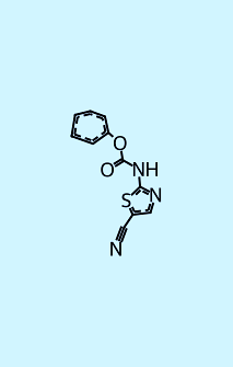 N#Cc1cnc(NC(=O)Oc2ccccc2)s1